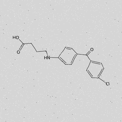 O=C(O)CCCNc1ccc(C(=O)c2ccc(Cl)cc2)cc1